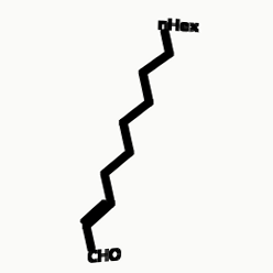 CCCCCCCCCCCCC=CC=O